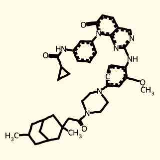 COc1cc(N2CCN(C(=O)CC3(C)CC4CC(C)CC(C4)C3)CC2)ccc1Nc1ncc2ccc(=O)n(-c3cccc(NC(=O)C4CC4)c3)c2n1